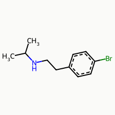 CC(C)NCCc1ccc(Br)cc1